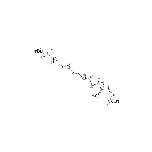 CC(C)(C)OC(=O)NCCOCCOCCNC(=O)/C=C\C(=O)O